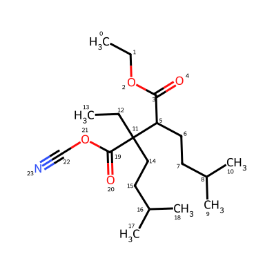 CCOC(=O)C(CCC(C)C)C(CC)(CCC(C)C)C(=O)OC#N